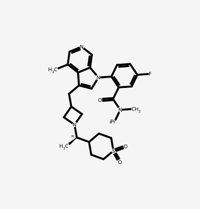 Cc1cncc2c1c(CC1CN([C@H](C)C3CCS(=O)(=O)CC3)C1)cn2-c1ccc(F)cc1C(=O)N(C)C(C)C